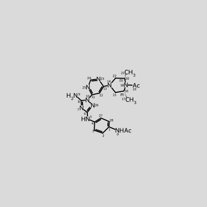 CC(=O)Nc1ccc(Nc2nc(N)n(-c3cc(N4C[C@@H](C)N(C(C)=O)[C@@H](C)C4)ncn3)n2)cc1